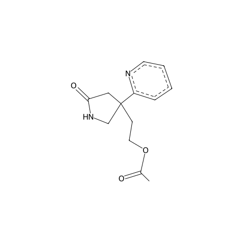 CC(=O)OCCC1(c2ccccn2)CNC(=O)C1